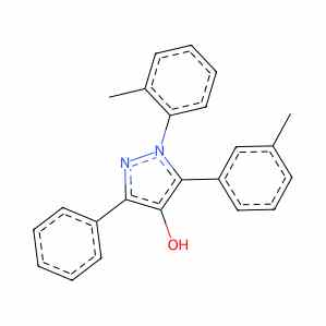 Cc1cccc(-c2c(O)c(-c3ccccc3)nn2-c2ccccc2C)c1